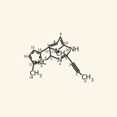 CC#C/C1=N/C(C)/C=C/C=C(\N(C)Cc2ccc(C)s2)N1